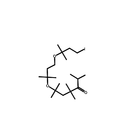 CC(C)C(=O)C(C)(C)CC(C)(C)OC(C)(C)CCOC(C)(C)CCI